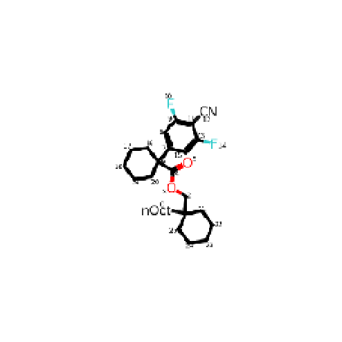 CCCCCCCCC1(COC(=O)C2(c3cc(F)c(C#N)c(F)c3)CCCCC2)CCCCC1